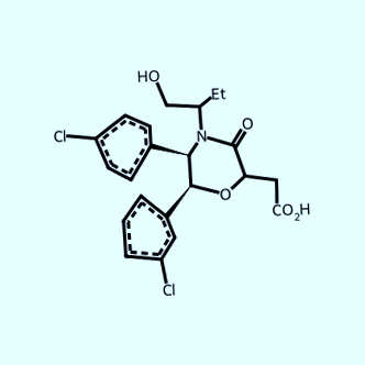 CCC(CO)N1C(=O)C(CC(=O)O)O[C@@H](c2cccc(Cl)c2)[C@H]1c1ccc(Cl)cc1